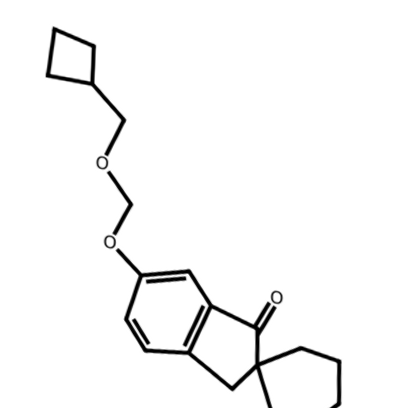 O=C1c2cc(OCOCC3CCC3)ccc2CC12CCCCC2